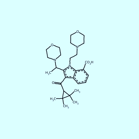 CC(c1c(C(=O)C2C(C)(C)C2(C)C)c2cccc(C(=O)O)c2n1CCN1CCOCC1)N1CCOCC1